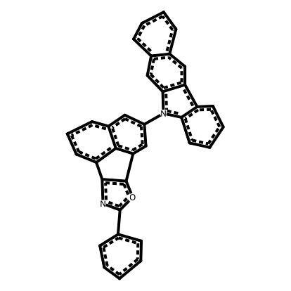 c1ccc(-c2nc3c(o2)-c2cc(-n4c5ccccc5c5cc6ccccc6cc54)cc4cccc-3c24)cc1